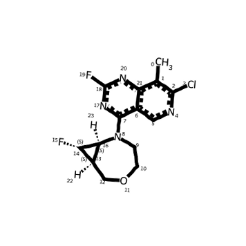 Cc1c(Cl)ncc2c(N3CCOC[C@H]4[C@H](F)[C@H]43)nc(F)nc12